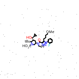 COCCCCc1c(C(=O)N(CC(C)C)[C@H]2C[C@@H](C(O)C3CC3)C(C(C)(C)C)N(C(=O)O)C2)nnn1-c1ccccc1F